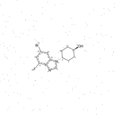 O[C@H]1CC[C@H](n2cnc3c(F)cc(Br)cc32)CC1